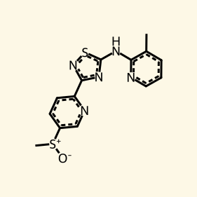 Cc1cccnc1Nc1nc(-c2ccc([S+](C)[O-])cn2)ns1